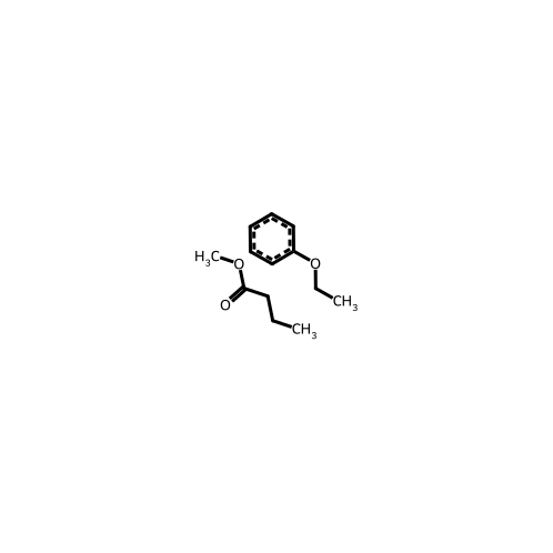 CCCC(=O)OC.CCOc1ccccc1